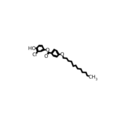 CCCCCCCCCCCCOc1ccc(C(=O)Oc2ccc(O)c(Cl)c2)cc1